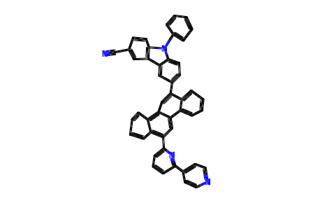 N#Cc1ccc2c(c1)c1cc(-c3cc4c5ccccc5c(-c5cccc(-c6ccncc6)n5)cc4c4ccccc34)ccc1n2-c1ccccc1